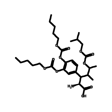 CCCCCOC(=O)Oc1ccc(C(C(C)C(C)OC(=O)OCC(C)C)[C@H](N)C(=O)O)cc1OC(=O)OCCCCC